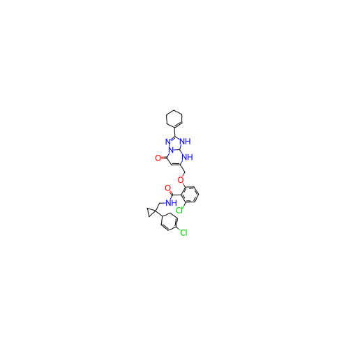 O=C(NCC1(C2C=CC(Cl)=CC2)CC1)c1c(Cl)cccc1OCC1=CC(=O)N2N=C(C3=CCCCC3)NC2N1